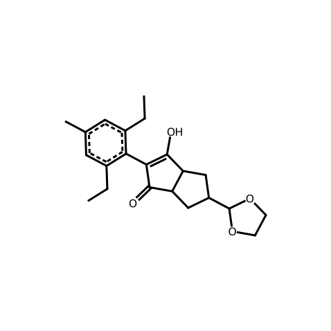 CCc1cc(C)cc(CC)c1C1=C(O)C2CC(C3OCCO3)CC2C1=O